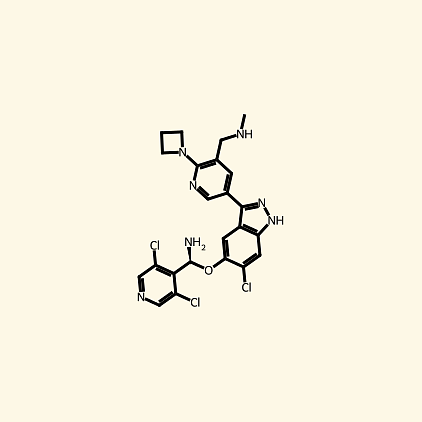 CNCc1cc(-c2n[nH]c3cc(Cl)c(O[C@H](N)c4c(Cl)cncc4Cl)cc23)cnc1N1CCC1